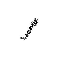 O=C1CCC(NC(=O)c2ccc(N3CCC(N4CC(C(=O)O)C4)CC3)cn2)C(=O)N1